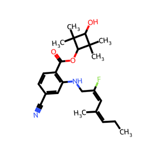 CC/C=C(C)\C=C(\F)CNc1cc(C#N)ccc1C(=O)OC1C(C)(C)C(O)C1(C)C